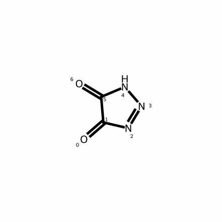 O=C1N=NNC1=O